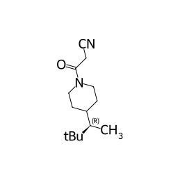 C[C@H](C1CCN(C(=O)CC#N)CC1)C(C)(C)C